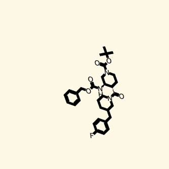 CC(C)(C)OC(=O)N1CC[C@H](C(=O)N2CCCC(Cc3ccc(F)cc3)C2)[C@@H](NC(=O)OCc2ccccc2)C1